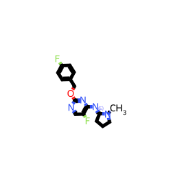 CN1CCC/C1=N\c1nc(OCc2ccc(F)cc2)ncc1F